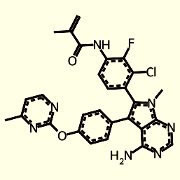 C=C(C)C(=O)Nc1ccc(-c2c(-c3ccc(Oc4nccc(C)n4)cc3)c3c(N)ncnc3n2C)c(Cl)c1F